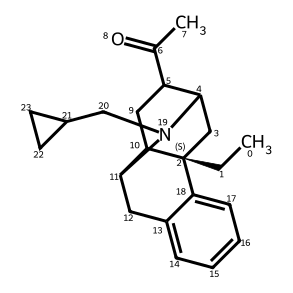 CC[C@]12CC3C(C(C)=O)CC1C(Cc1ccccc12)N3CC1CC1